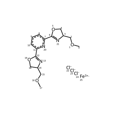 COCC1COC(c2cccc(C3=NC(COC)CO3)n2)=N1.[Cl-].[Cl-].[Cl-].[Fe+3]